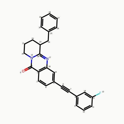 O=c1c2ccc(C#Cc3cccc(F)c3)cc2nc2n1CCCC2Cc1ccccc1